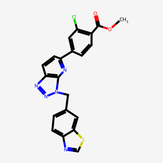 COC(=O)c1ccc(-c2ccc3nnn(Cc4ccc5ncsc5c4)c3n2)cc1Cl